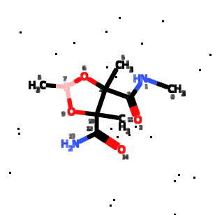 CNC(=O)C1(C)OB(C)OC1(C)C(N)=O